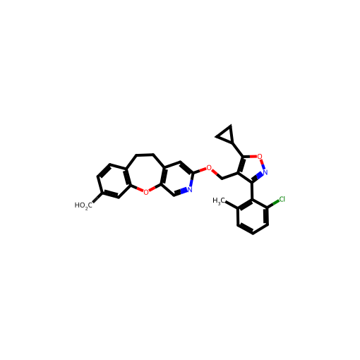 Cc1cccc(Cl)c1-c1noc(C2CC2)c1COc1cc2c(cn1)Oc1cc(C(=O)O)ccc1CC2